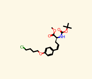 COC(=O)[C@H](C/C=C\c1ccc(OCCCCCl)cc1)NC(=O)OC(C)(C)C